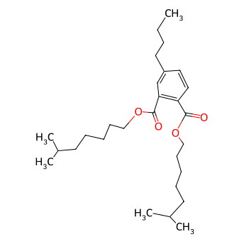 CCCCc1ccc(C(=O)OCCCCCC(C)C)c(C(=O)OCCCCCC(C)C)c1